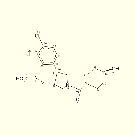 O=C(O)NC[C@H]1CN(C(=O)[C@H]2CC[C@H](O)CC2)C[C@H]1c1ccc(Cl)c(Cl)c1